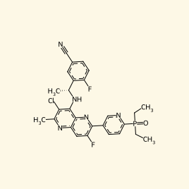 CCP(=O)(CC)c1ccc(-c2nc3c(N[C@H](C)c4cc(C#N)ccc4F)c(Cl)c(C)nc3cc2F)cn1